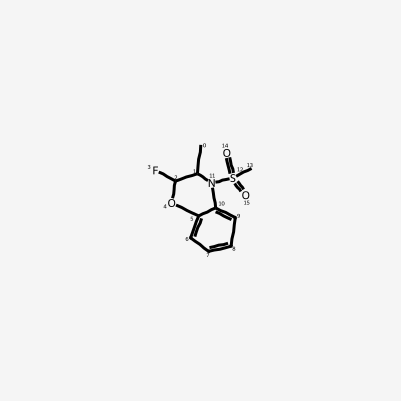 CC1C(F)Oc2ccccc2N1S(C)(=O)=O